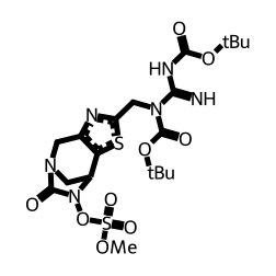 COS(=O)(=O)ON1C(=O)N2Cc3nc(CN(C(=N)NC(=O)OC(C)(C)C)C(=O)OC(C)(C)C)sc3C1C2